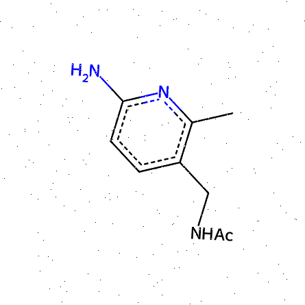 CC(=O)NCc1ccc(N)nc1C